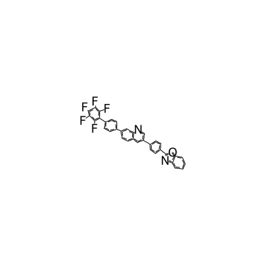 Fc1c(F)c(F)c(-c2ccc(-c3ccc4cc(-c5ccc(-c6nc7ccccc7o6)cc5)cnc4c3)cc2)c(F)c1F